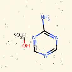 Nc1ncncn1.O=S(=O)(O)O